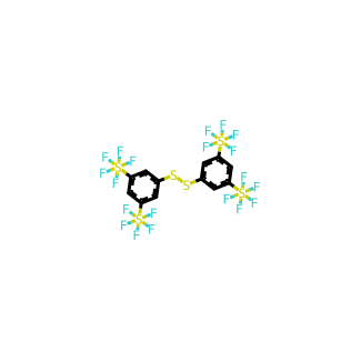 FS(F)(F)(F)(F)c1cc(SSc2cc(S(F)(F)(F)(F)F)cc(S(F)(F)(F)(F)F)c2)cc(S(F)(F)(F)(F)F)c1